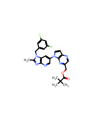 Cc1nc2ncc(-n3ccc4ncc(COC(=O)C(C)(C)C)nc43)cc2n1Cc1cc(F)cc(F)c1